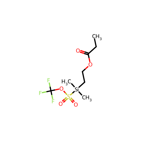 CCC(=O)OCC[Si](C)(C)S(=O)(=O)OC(F)(F)F